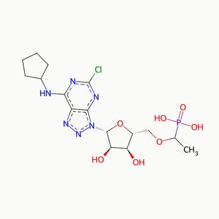 CC(OC[C@H]1O[C@@H](n2nnc3c(NC4CCCC4)nc(Cl)nc32)[C@H](O)[C@@H]1O)P(=O)(O)O